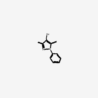 Cc1nn(-c2ccccc2)c(C)c1O